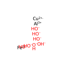 [Al+3].[Cu+2].[Fe+2].[OH-].[OH-].[OH-].[OH-].[OH-].[OH-].[OH-]